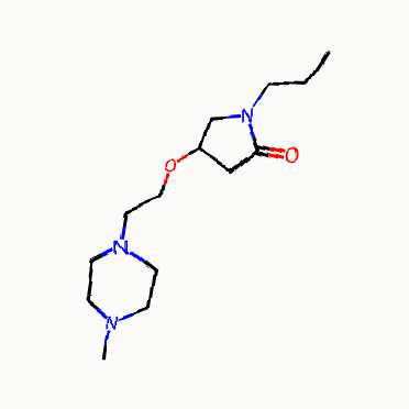 CCCN1CC(OCCN2CCN(C)CC2)CC1=O